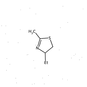 CCC1CSC(C)=N1